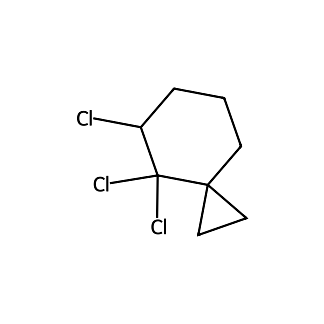 ClC1CCCC2(CC2)C1(Cl)Cl